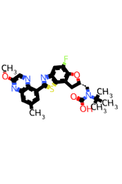 COc1cnc2c(-c3nc4cc(F)c5c(c4s3)C[C@@H](CN(C(=O)O)C(C)(C)C)O5)cc(C)cc2n1